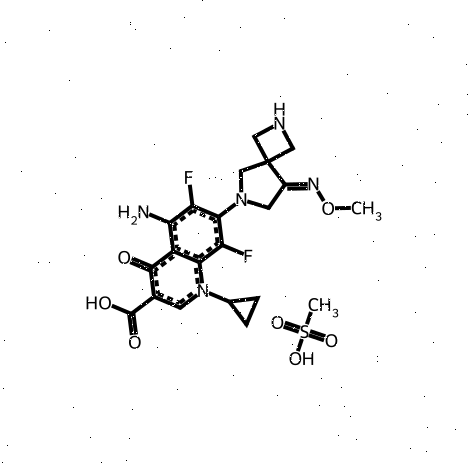 CON=C1CN(c2c(F)c(N)c3c(=O)c(C(=O)O)cn(C4CC4)c3c2F)CC12CNC2.CS(=O)(=O)O